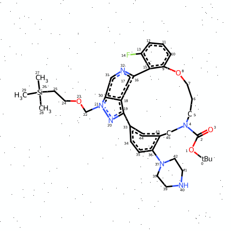 CC(C)(C)OC(=O)N1CCCOc2cccc(F)c2-c2cc3c(nn(COCC[Si](C)(C)C)c3cn2)-c2ccc(N3CCNCC3)c(c2)C1